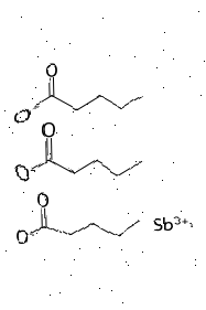 CCCCC(=O)[O-].CCCCC(=O)[O-].CCCCC(=O)[O-].[Sb+3]